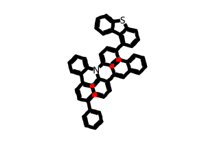 c1ccc(-c2ccc(-c3ccccc3N(c3ccc(-c4cccc5sc6ccccc6c45)cc3)c3ccccc3-c3ccc4ccccc4c3)cc2)cc1